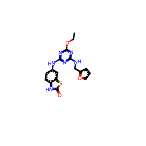 CCOc1nc(NCc2ccco2)nc(Nc2ccc3[nH]c(=O)sc3c2)n1